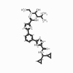 CCOC(O)[C@@H](NC(=O)c1cnc(-c2cccc(-c3nnc(C(=O)NC(C4CC4)C4CC4)[nH]3)c2)o1)C(C)C